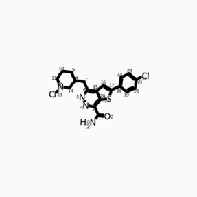 NC(=O)c1nnc(CC2CCCN(Cl)C2)c2cc(-c3ccc(Cl)cc3)sc12